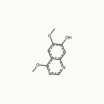 COc1cc2c(OC)ncnc2cc1O